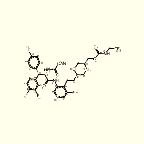 COC(=O)N[C@H](C(=O)Nc1cncc(F)c1CC[C@@H]1CN[C@H](COC(=O)NCC(F)(F)F)CO1)[C@@H](c1ccc(F)cc1)c1ccc(F)c(F)c1